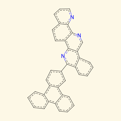 c1cnc2c(c1)ccc1c3nc(-c4ccc5c6ccccc6c6ccccc6c5c4)c4ccccc4c3cnc12